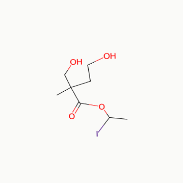 CC(I)OC(=O)C(C)(CO)CCO